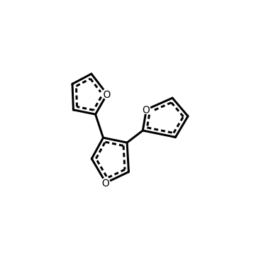 c1coc(-c2cocc2-c2ccco2)c1